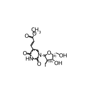 COC(=O)C=Cc1cn([C@@H]2O[C@H](CO)[C@@H](O)[C@H]2I)c(=O)[nH]c1=O